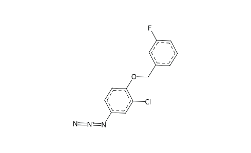 [N-]=[N+]=Nc1ccc(OCc2cccc(F)c2)c(Cl)c1